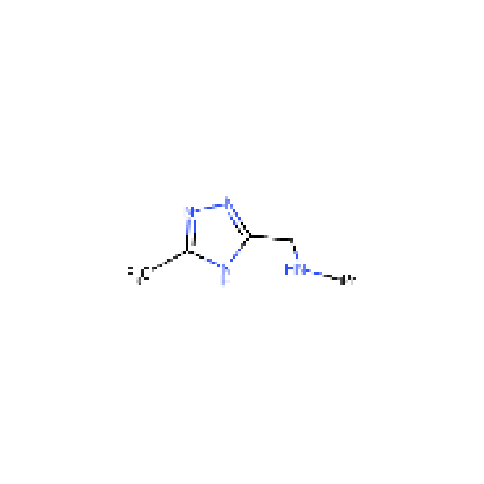 CC(C)NCc1nnc(C(F)(F)F)[nH]1